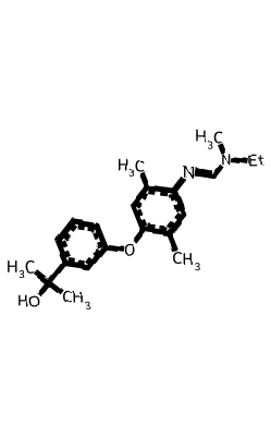 CCN(C)C=Nc1cc(C)c(Oc2cccc(C(C)(C)O)c2)cc1C